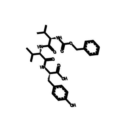 CC(C)[C@H](NC(=O)OCc1ccccc1)C(=O)N[C@H](C(=O)N[C@@H](Cc1ccc(O)cc1)C(=O)O)C(C)C